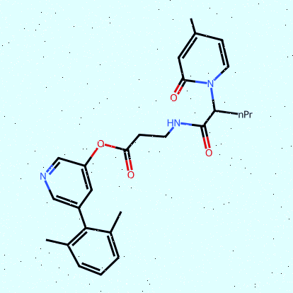 CCCC(C(=O)NCCC(=O)Oc1cncc(-c2c(C)cccc2C)c1)n1ccc(C)cc1=O